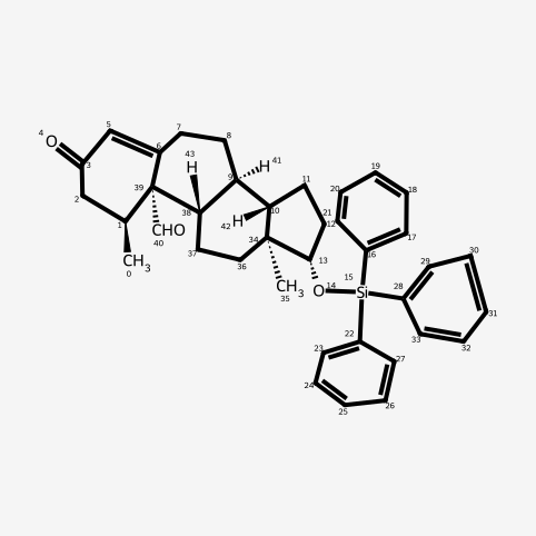 C[C@H]1CC(=O)C=C2CC[C@H]3[C@@H]4CC[C@H](O[Si](c5ccccc5)(c5ccccc5)c5ccccc5)[C@@]4(C)CC[C@@H]3[C@]21C=O